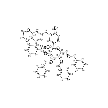 COC1(c2ccc(Br)c(Cc3ccc4c(c3)OCCO4)c2)O[C@H](COCc2ccccc2)[C@@H](OCc2ccccc2)[C@H](OCc2ccccc2)[C@H]1OCc1ccccc1